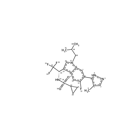 Cc1cn[nH]c1-c1cc2c(cc1F)c([C@H](NS(=O)(=O)C1CC1)C(F)(F)F)cn2CC(C)C